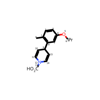 Cc1ccc(OC(C)C)cc1C1C=CN(C(=O)O)C=C1